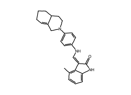 Cc1cccc2c1C(=CNc1ccc(N3CCC4CCCC=C4C3)cc1)C(=O)N2